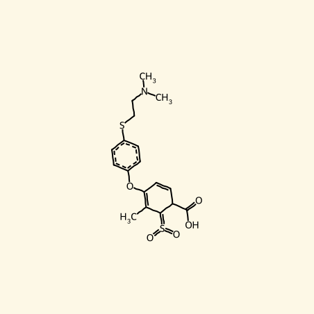 CC1=C(Oc2ccc(SCCN(C)C)cc2)C=CC(C(=O)O)C1=S(=O)=O